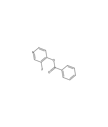 O=C(Oc1c[c]ncc1F)c1ccccc1